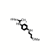 CCCCCCC(C)Nc1ccc(NCCCOC)cc1